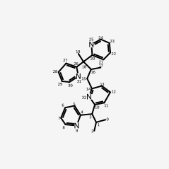 CC(C)C(c1ccccn1)c1cccc(CC(C)C(C)(c2ccccn2)c2ccccn2)n1